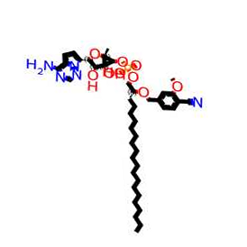 CCCCCCCCCCCCCCCCCCC[C@H](COP(=O)(O)OC1[C@@]2(C)O[C@@H](c3ccc4c(N)ncnn34)[C@H](O)[C@@]12O)OCc1ccc(C#N)c(OC)c1